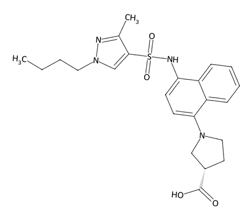 CCCCn1cc(S(=O)(=O)Nc2ccc(N3CC[C@H](C(=O)O)C3)c3ccccc23)c(C)n1